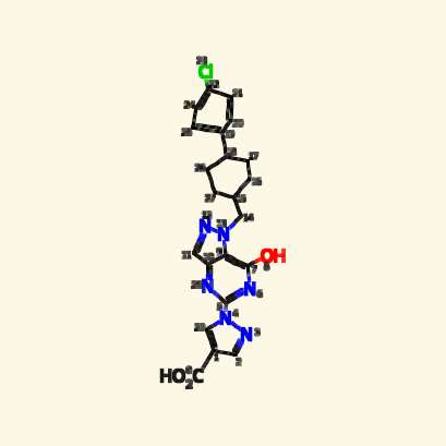 O=C(O)c1cnn(-c2nc(O)c3c(cnn3CC3CCC(c4ccc(Cl)cc4)CC3)n2)c1